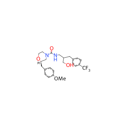 COc1ccc(C[C@@H]2CN(C(=O)NCC(CO)Cc3ccc(C(F)(F)F)cc3)CCO2)cc1